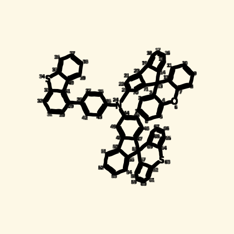 c1ccc2c(c1)Oc1ccccc1C21c2ccccc2-c2ccc(N(c3ccc(-c4cccc5sc6ccccc6c45)cc3)c3ccc4c(c3)-c3ccccc3C43c4ccccc4Sc4ccccc43)cc21